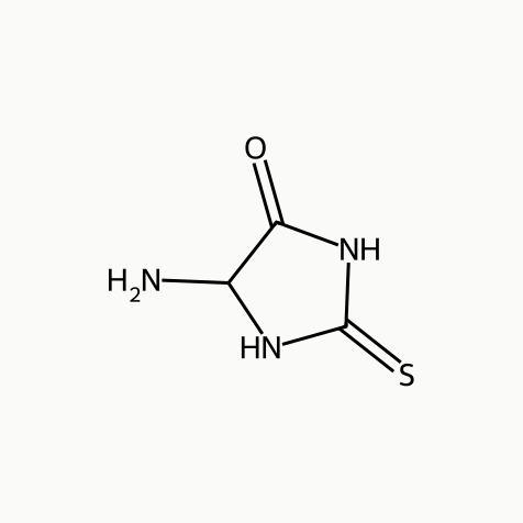 NC1NC(=S)NC1=O